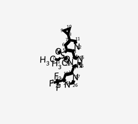 CCS(=O)(=O)c1cc(C2CC2)cnc1-c1nnc(-c2cc(C(F)(F)F)ncn2)n1C